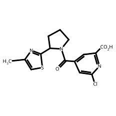 Cc1csc(C2CCCN2C(=O)c2cc(Cl)nc(C(=O)O)c2)n1